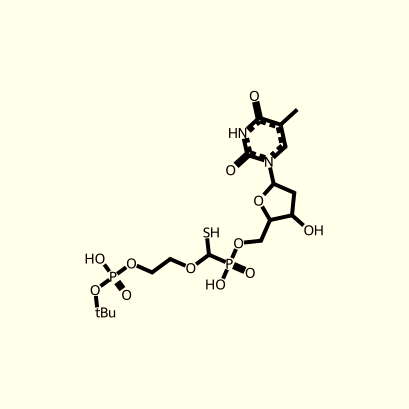 Cc1cn(C2CC(O)C(COP(=O)(O)C(S)OCCOP(=O)(O)OC(C)(C)C)O2)c(=O)[nH]c1=O